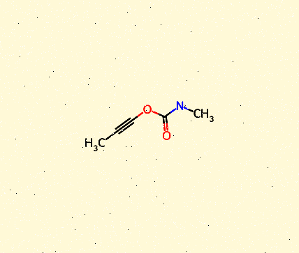 CC#COC(=O)[N]C